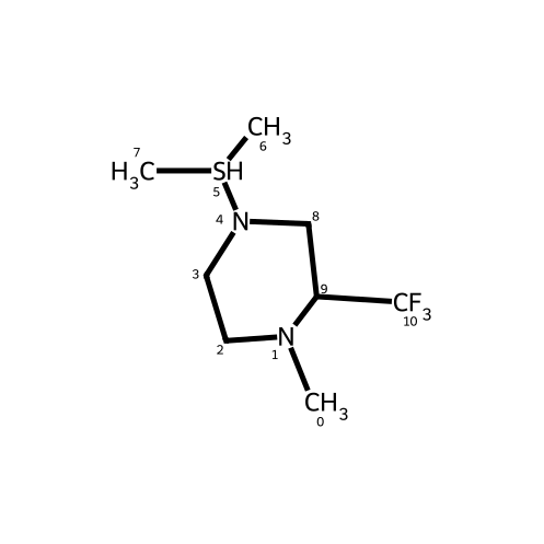 CN1CCN([SH](C)C)CC1C(F)(F)F